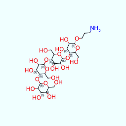 NCCCO[C@@H]1OC(CO)[C@@H](O[C@@H]2OC(CO)[C@@H](O[C@H]3OC(CO)[C@H](O[C@H]4OC(CO)[C@@H](O)[C@H](O)C4O)[C@H](O)C3O)[C@H](O)C2O)[C@H](O)C1O